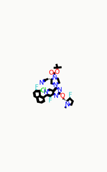 CN1CC[C@H](F)[C@H]1COc1nc(N2CCN(C(=O)OC(C)(C)C)[C@@H](CC#N)C2)c2cnc(-c3cccc4ccc(F)c(Cl)c34)c(F)c2n1